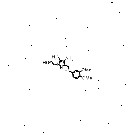 COc1ccc(NCc2nn(CCO)c(N)c2N)cc1OC